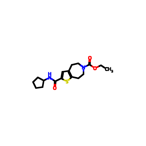 CCOC(=O)N1CCc2cc(C(=O)NC3CCCC3)sc2CC1